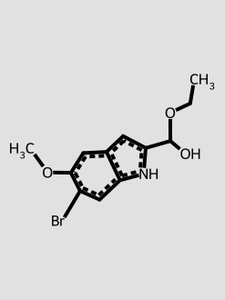 CCOC(O)c1cc2cc(OC)c(Br)cc2[nH]1